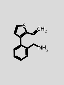 C=Cc1sccc1-c1ccccc1CN